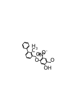 Cc1c(COc2cc(O)c(C=O)cc2[N+](=O)[O-])cccc1-c1ccccc1